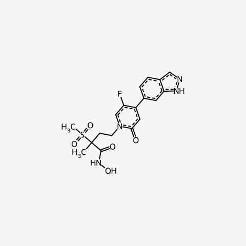 CC(CCn1cc(F)c(-c2ccc3cn[nH]c3c2)cc1=O)(C(=O)NO)S(C)(=O)=O